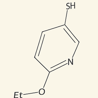 CCOc1ccc(S)cn1